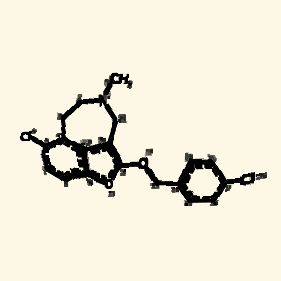 CN1CCc2c(Cl)ccc3oc(OCc4ccc(Cl)cc4)c(c23)C1